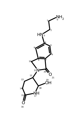 NCCNc1ccc2c(c1)CN(C1CCC(=O)NC1O)C2=O